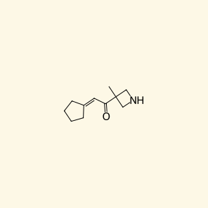 CC1(C(=O)C=C2CCCC2)CNC1